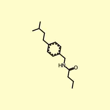 CCCC(=O)NCc1ccc(CCC(C)C)cc1